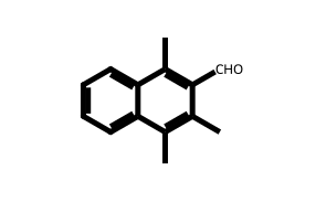 Cc1c(C=O)c(C)c2ccccc2c1C